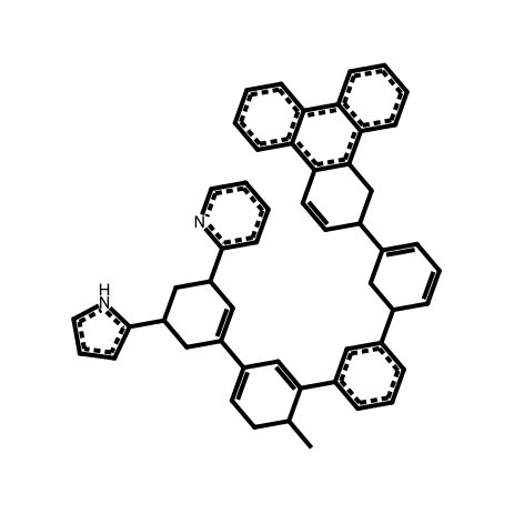 CC1CC=C(C2=CC(c3ccccn3)CC(c3ccc[nH]3)C2)C=C1c1cccc(C2C=CC=C(C3C=Cc4c(c5ccccc5c5ccccc45)C3)C2)c1